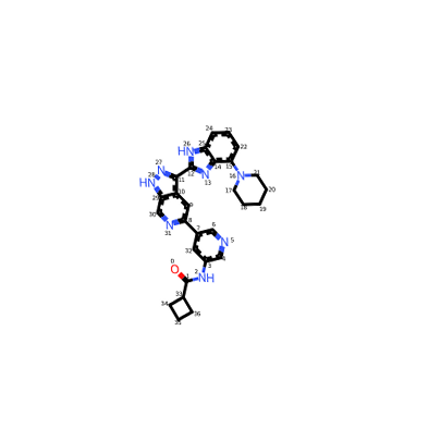 O=C(Nc1cncc(-c2cc3c(-c4nc5c(N6CCCCC6)cccc5[nH]4)n[nH]c3cn2)c1)C1CCC1